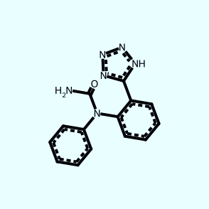 NC(=O)N(c1ccccc1)c1ccccc1-c1nnn[nH]1